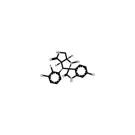 CCN1[C@H]2CNC(=O)[C@H]2[C@H](c2cccc(Cl)c2F)[C@]12C(=O)Nc1cc(Cl)ccc12